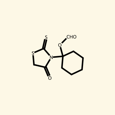 O=COC1(N2C(=O)CSC2=S)CCCCC1